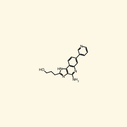 Nc1nc2cc(-c3cccnc3)ccc2c2[nH]c(CCCO)nc12